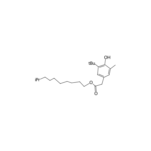 Cc1cc(CC(=O)OCCCCCCCCC(C)C)cc(C(C)(C)C)c1O